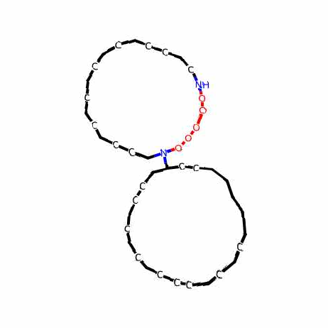 C1CCCCCCCCCCCC(N2CCCCCCCCCCCCCCCCNOOOOO2)CCCCCCCCCC1